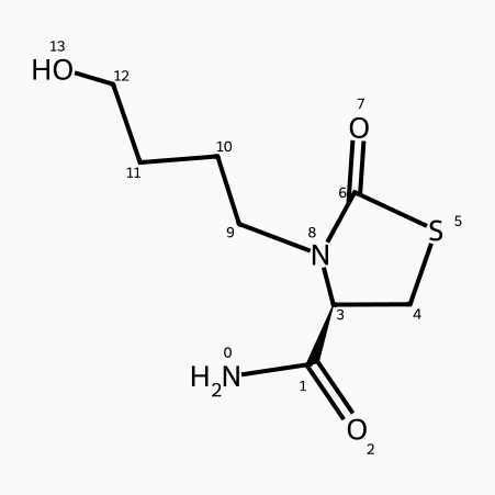 NC(=O)[C@@H]1CSC(=O)N1CCCCO